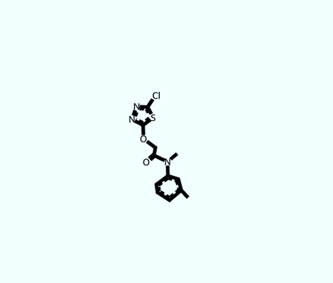 Cc1cccc(N(C)C(=O)COc2nnc(Cl)s2)c1